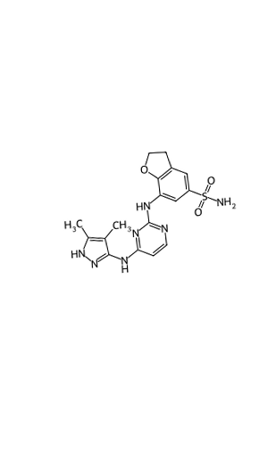 Cc1[nH]nc(Nc2ccnc(Nc3cc(S(N)(=O)=O)cc4c3OCC4)n2)c1C